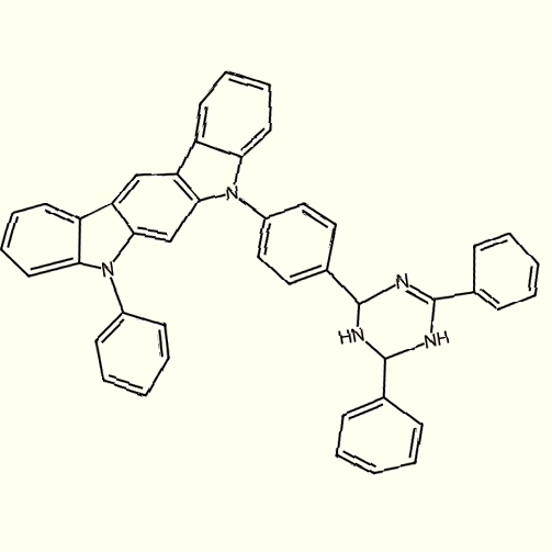 c1ccc(C2=NC(c3ccc(-n4c5ccccc5c5cc6c7ccccc7n(-c7ccccc7)c6cc54)cc3)NC(c3ccccc3)N2)cc1